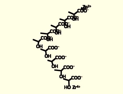 CC(O)C(=O)[O-].CC(O)C(=O)[O-].CC(O)C(=O)[O-].CC(O)C(=O)[O-].CC(O)C(=O)[O-].CC(O)C(=O)[O-].CC(O)C(=O)[O-].CC(O)C(=O)[O-].CC(O)C(=O)[O-].[Al+3].[Zn+2].[Zr+4]